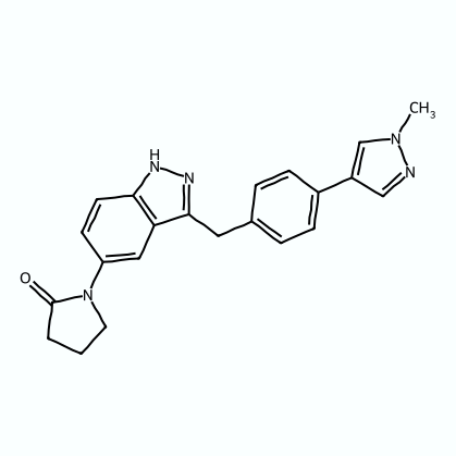 Cn1cc(-c2ccc(Cc3n[nH]c4ccc(N5CCCC5=O)cc34)cc2)cn1